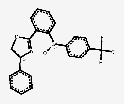 [O-][S@+](c1ccc(C(F)(F)F)cc1)c1ccccc1C1=N[C@@H](c2ccccc2)CO1